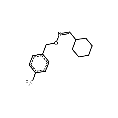 FC(F)(F)c1ccc(CO/N=[C]\C2CCCCC2)cc1